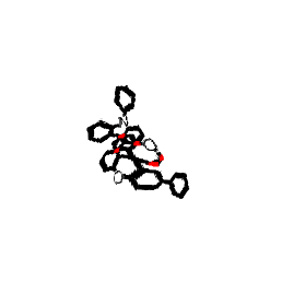 c1ccc(-c2ccc3c(c2)C2(c4ccccc4Oc4ccccc42)c2c(cccc2-c2cccc4c2c2ccccc2n4-c2ccccc2)O3)cc1